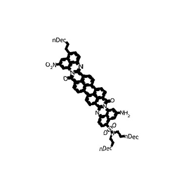 CCCCCCCCCCCCc1ccc2nc3c4ccc5c6ccc7c(=O)n8c9cc(N)cc%10c(S(=O)(=O)N(CCCCCCCCCCCC)CCCCCCCCCCCC)ccc(nc8c8ccc(c%11ccc(c(=O)n3c3cc([N+](=O)[O-])cc1c23)c4c5%11)c6c78)c%109